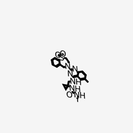 Cc1ccc2nc(N3CCS(=O)(=O)c4ccccc4C3)nc(NCC3(NC(=O)NI)CC3)c2c1